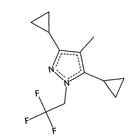 Cc1c(C2CC2)nn(CC(F)(F)F)c1C1CC1